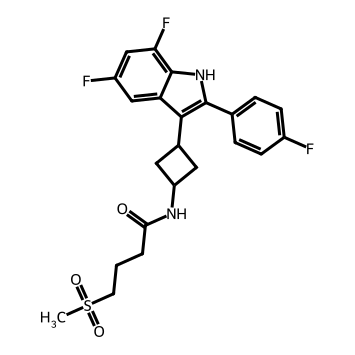 CS(=O)(=O)CCCC(=O)NC1CC(c2c(-c3ccc(F)cc3)[nH]c3c(F)cc(F)cc23)C1